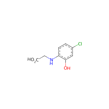 O=C(O)CNc1ccc(Cl)cc1O